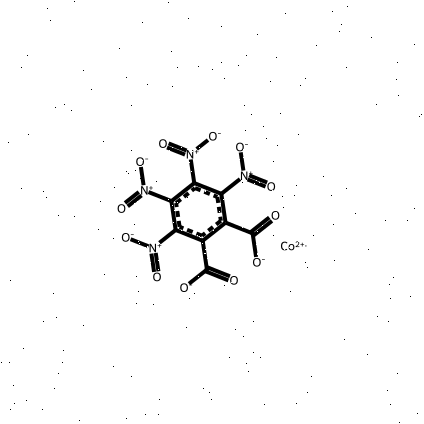 O=C([O-])c1c(C(=O)[O-])c([N+](=O)[O-])c([N+](=O)[O-])c([N+](=O)[O-])c1[N+](=O)[O-].[Co+2]